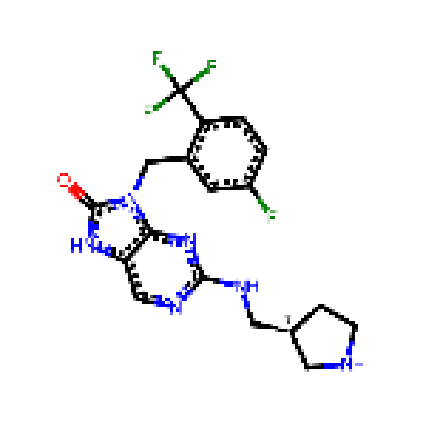 O=c1[nH]c2cnc(NC[C@H]3CCNC3)nc2n1Cc1cc(F)ccc1C(F)(F)F